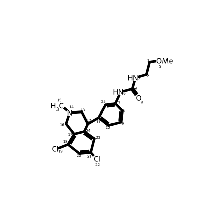 COCCNC(=O)Nc1cccc(C2CN(C)Cc3c(Cl)cc(Cl)cc32)c1